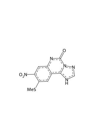 CSc1cc2c(cc1[N+](=O)[O-])nc(=O)n1nc[nH]c21